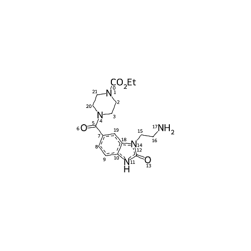 CCOC(=O)N1CCN(C(=O)c2ccc3[nH]c(=O)n(CCN)c3c2)CC1